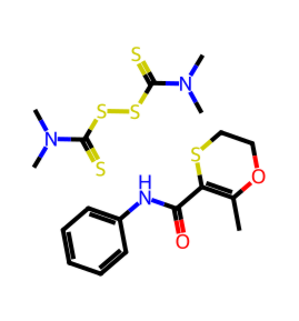 CC1=C(C(=O)Nc2ccccc2)SCCO1.CN(C)C(=S)SSC(=S)N(C)C